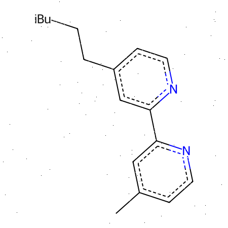 CCC(C)CCc1ccnc(-c2cc(C)ccn2)c1